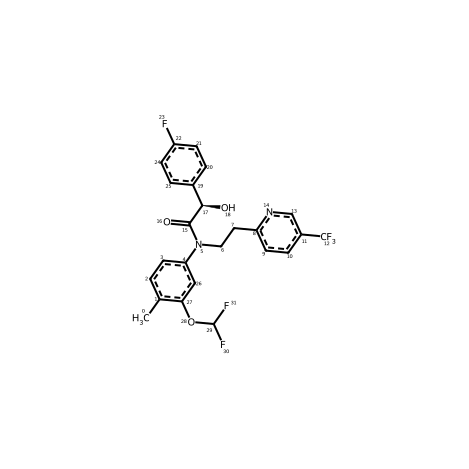 Cc1ccc(N(CCc2ccc(C(F)(F)F)cn2)C(=O)[C@H](O)c2ccc(F)cc2)cc1OC(F)F